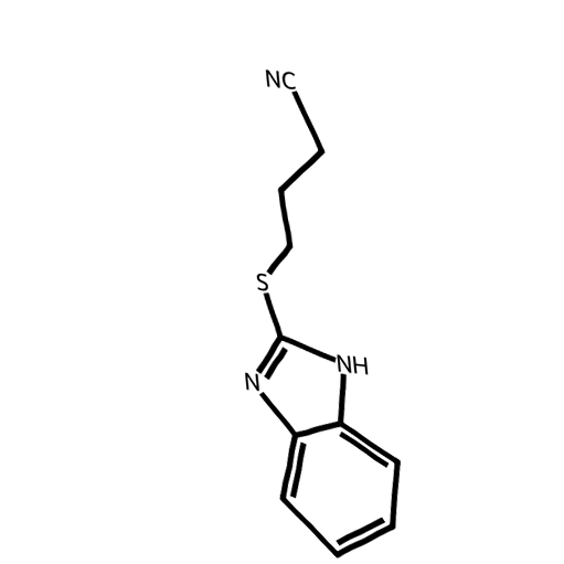 N#CCCCSc1nc2ccccc2[nH]1